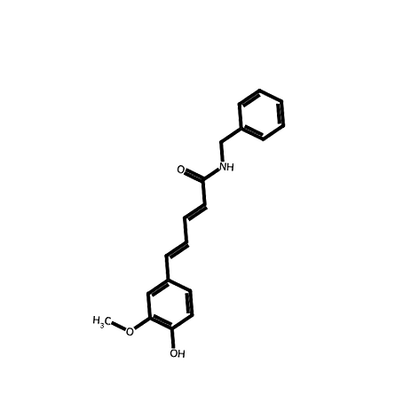 COc1cc(C=CC=CC(=O)NCc2ccccc2)ccc1O